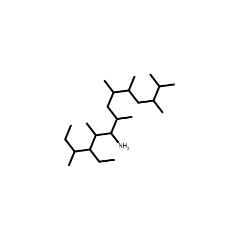 CCC(C)C(CC)C(C)C(N)C(C)CC(C)C(C)CC(C)C(C)C